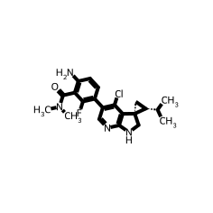 CC(C)[C@H]1C[C@@]12CNc1ncc(-c3ccc(N)c(C(=O)N(C)C)c3F)c(Cl)c12